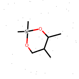 CC1CO[Si](C)(C)OC1C